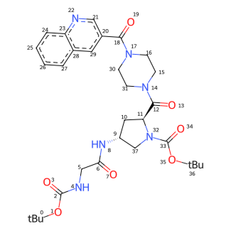 CC(C)(C)OC(=O)NCC(=O)N[C@@H]1C[C@@H](C(=O)N2CCN(C(=O)c3cnc4ccccc4c3)CC2)N(C(=O)OC(C)(C)C)C1